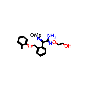 CON=C(C(N)=NOCCO)c1ccccc1COc1ccccc1C